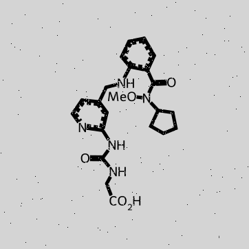 CON(C(=O)c1ccccc1NCc1ccnc(NC(=O)NCC(=O)O)c1)C1CCCC1